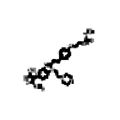 Cc1noc(C)c1-c1ccc2c(c1)nc(CCc1ccc(OCCNC(=O)OC(C)(C)C)cc1)n2CCN1CCOCC1